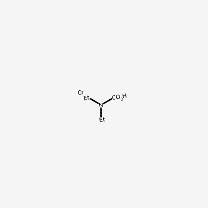 CCN(CC)C(=O)O.[Cr]